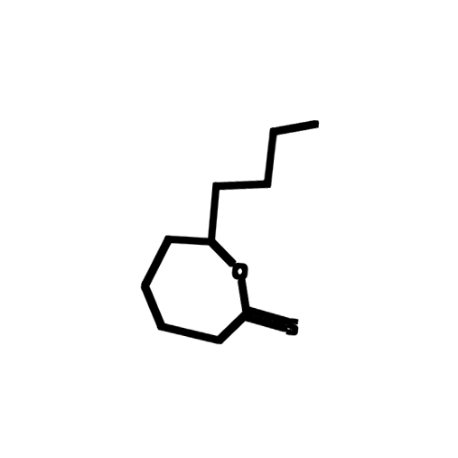 CCCCC1CCCCC(=S)O1